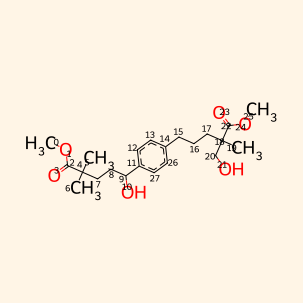 COC(=O)C(C)(C)CCC(O)c1ccc(CCCC(C)(CO)C(=O)OC)cc1